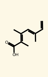 C=CC(C)=CC(C)=C(C)C(=O)O